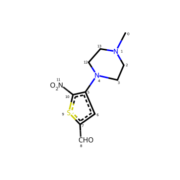 CN1CCN(c2cc(C=O)sc2[N+](=O)[O-])CC1